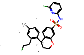 C[C@@]1(c2ccc(C(F)(F)F)cc2CCF)CCOc2cc(S(=O)(=O)Nc3cccc(F)n3)ccc21